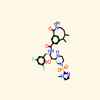 CCCN1CCC(C)C(C)c2cc(C(=O)N[C@@H](Cc3cc(F)cc(F)c3)[C@H](O)[C@H]3CN(S(=O)(=O)c4nccn4C)CCN3)cc(c2)C1=O